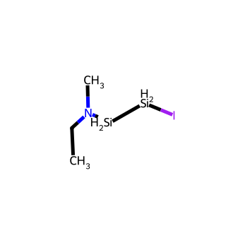 CCN(C)[SiH2][SiH2]I